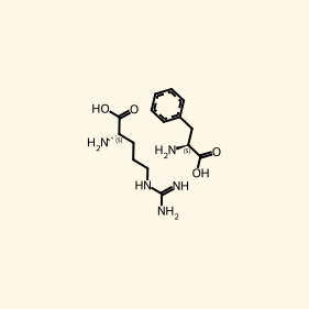 N=C(N)NCCC[C@H](N)C(=O)O.N[C@@H](Cc1ccccc1)C(=O)O